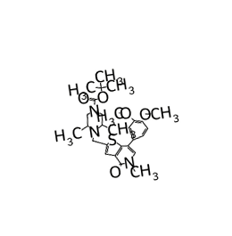 COc1ccc(-c2cn(C)c(=O)c3cc(CN4C(C)CN(C(=O)OC(C)(C)C)CC4C)sc23)cc1OC